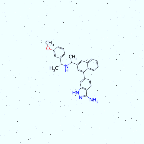 COc1cccc([C@@H](C)NC(C)c2cc(-c3ccc4c(N)n[nH]c4c3)c3ccccc3c2)c1